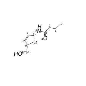 CCCC(=O)N[C@H]1C=C[C@@H](CO)C1